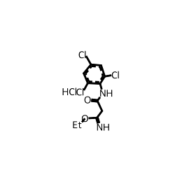 CCOC(=N)CC(=O)Nc1c(Cl)cc(Cl)cc1Cl.Cl